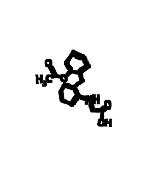 CC(=O)Oc1ccccc1Cc1ccccc1NCC(=O)O